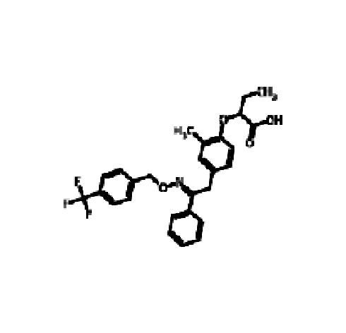 CCC(Oc1ccc(CC(=NOCc2ccc(C(F)(F)F)cc2)c2ccccc2)cc1C)C(=O)O